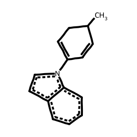 CC1C=CC(n2ccc3ccccc32)=CC1